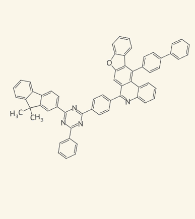 CC1(C)c2ccccc2-c2ccc(-c3nc(-c4ccccc4)nc(-c4ccc(-c5nc6ccccc6c6c(-c7ccc(-c8ccccc8)cc7)c7c(cc56)oc5ccccc57)cc4)n3)cc21